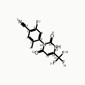 Cc1cc(C#N)c(F)cc1-n1c(=O)cc(C(F)(F)F)[nH]c1=O